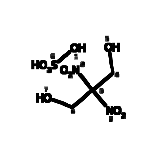 O=S(=O)(O)O.O=[N+]([O-])C(CO)(CO)[N+](=O)[O-]